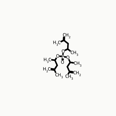 C=C(C)CC(C)OP(=O)(OC(C)CC(=C)C)OC(C)CC(=C)C